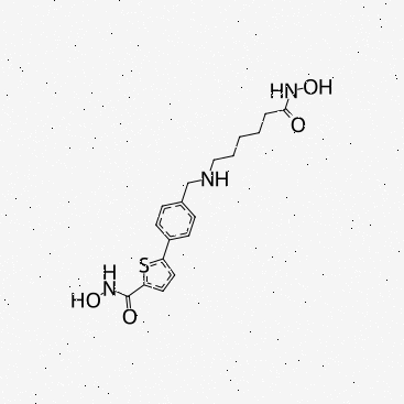 O=C(CCCCCNCc1ccc(-c2ccc(C(=O)NO)s2)cc1)NO